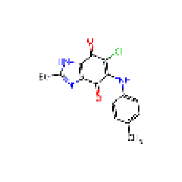 CCc1nc2c([nH]1)C(=O)C(Cl)=C(Nc1ccc(C)cc1)C2=O